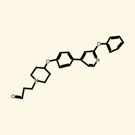 O=CCCN1CCC(Oc2ccc(-c3ccnc(Oc4ccccc4)c3)cc2)CC1